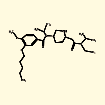 CCN(C(=O)CC1CC[C@@H](N(C(=O)c2ccc(OC)c(OCCCOC)c2)C(C)C)CN1)C(C)C